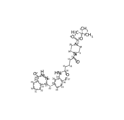 CC(C)(C)OC(=O)N1CCN(C(=O)CCCC(=O)Nc2cc(Cc3n[nH]c(=O)c4ccccc34)ccc2F)CC1